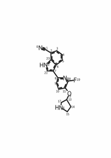 N#Cc1cccc2c(-c3ccc(OC4CCNC4)c(F)n3)c[nH]c12